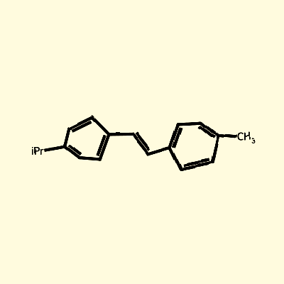 Cc1ccc(C=Cc2ccc(C(C)C)cc2)cc1